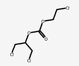 O=C(OCCCl)OC(CCl)CCl